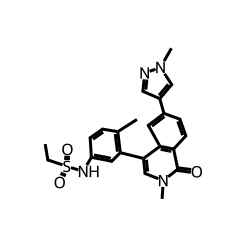 CCS(=O)(=O)Nc1ccc(C)c(-c2cn(C)c(=O)c3ccc(-c4cnn(C)c4)cc23)c1